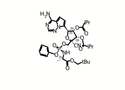 CC(C)C(=O)O[C@H]1[C@H](c2ccc3c(N)ncnn23)O[C@](C#N)(COP(=O)(N[C@@H](C)C(=O)OCC(C)(C)C)Oc2ccccc2)[C@H]1OC(=O)C(C)C